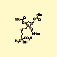 CCCCCC/C=C/[C@H]1[C@H](COC(=O)CCCC)C[C@@H](OC(=O)CCCC)[C@@H]1C/C=C\CCC(C)(O)C(=O)O